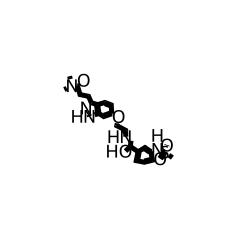 CN(C)C(=O)CCc1n[nH]c2cc(OCCNCC(O)c3cccc(NS(C)(=O)=O)c3)ccc12